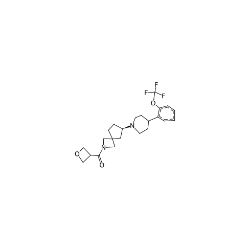 O=C(C1COC1)N1CC2(CC[C@@H](N3CCC(c4ccccc4OC(F)(F)F)CC3)C2)C1